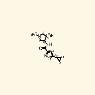 CC(C)[C@H]1CN(C(C)C)C[C@@H]1NC(=O)c1cc(C2CC2)on1